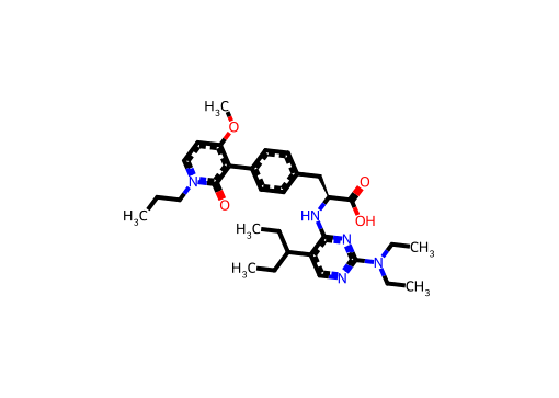 CCCn1ccc(OC)c(-c2ccc(C[C@H](Nc3nc(N(CC)CC)ncc3C(CC)CC)C(=O)O)cc2)c1=O